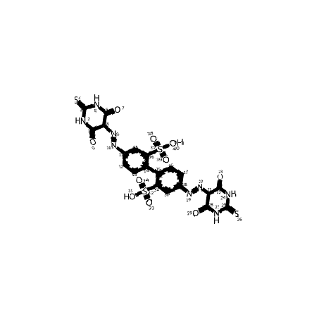 O=C1NC(=S)NC(=O)C1N=Nc1ccc(-c2ccc(N=NC3C(=O)NC(=S)NC3=O)cc2S(=O)(=O)O)c(S(=O)(=O)O)c1